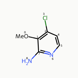 COc1c(Cl)ccnc1N